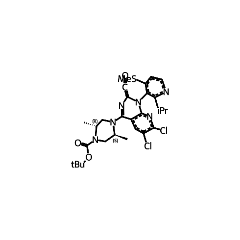 CSc1ccnc(C(C)C)c1N1C(=C=O)N=C(N2C[C@@H](C)N(C(=O)OC(C)(C)C)C[C@@H]2C)c2cc(Cl)c(Cl)nc21